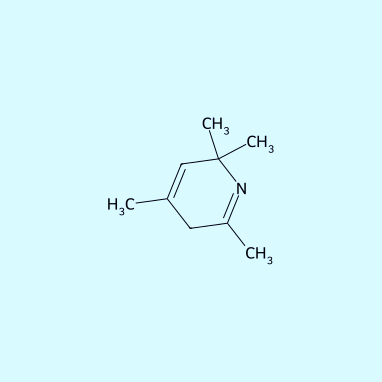 CC1=CC(C)(C)N=C(C)C1